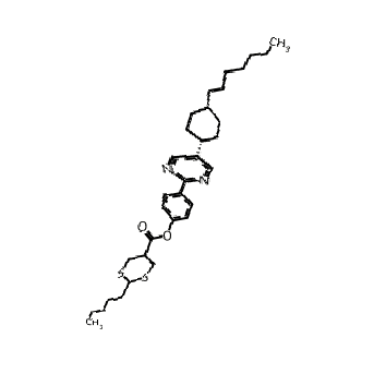 CCCCCCC[C@H]1CC[C@H](c2cnc(-c3ccc(OC(=O)C4CSC(CCCCC)SC4)cc3)nc2)CC1